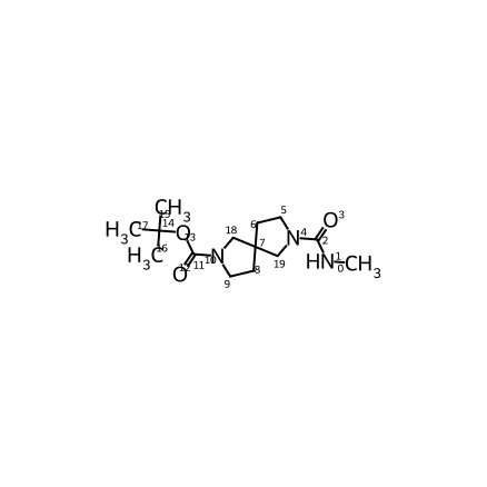 CNC(=O)N1CCC2(CCN(C(=O)OC(C)(C)C)C2)C1